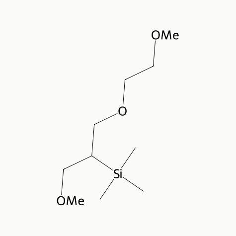 COCCOCC(COC)[Si](C)(C)C